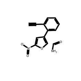 C#Cc1ccccc1-c1coc([N+](=O)[O-])c1.NC=O